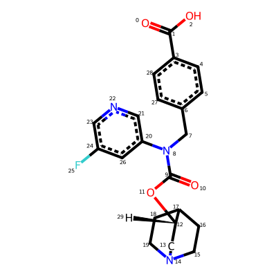 O=C(O)c1ccc(CN(C(=O)O[C@H]2CN3CCC2CC3)c2cncc(F)c2)cc1